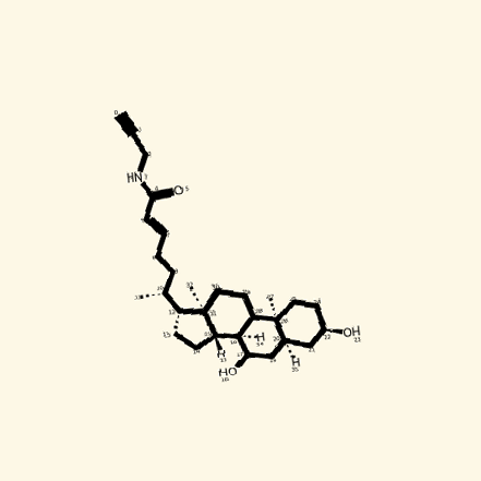 C#CCNC(=O)/C=C/CC[C@@H](C)[C@H]1CC[C@H]2[C@@H]3C(O)C[C@@H]4C[C@H](O)CC[C@]4(C)C3CC[C@]12C